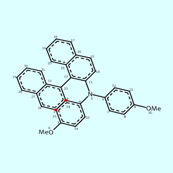 COc1ccc(N(c2ccc(OC)cc2)c2ccc3ccccc3c2-c2cccc3ccccc23)cc1